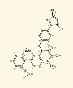 CCn1cc(C(F)(F)F)nc1-c1ccc(CN2c3nc(-c4c(OC)ncnc4C4CC4)ncc3N(C)C(=O)C23CC3)cc1